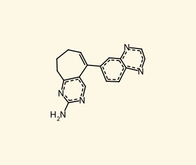 Nc1ncc2c(n1)CCCC=C2c1ccc2nccnc2c1